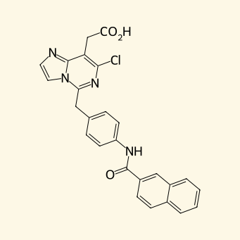 O=C(O)Cc1c(Cl)nc(Cc2ccc(NC(=O)c3ccc4ccccc4c3)cc2)n2ccnc12